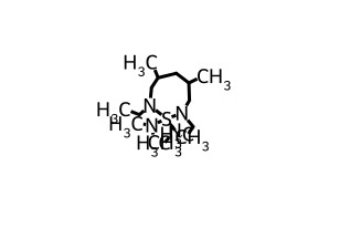 CCN1CC(C)CC(C)CN(CC)S1(N(C)C)N(C)C